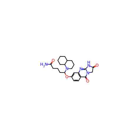 NC(=O)CCCC(Oc1ccc2c(=O)n3c(nc2c1)NC(=O)C3)N1CCCC2CCCCC21